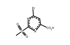 CCc1cc(C(=O)O)nc(S(C)(=O)=O)n1